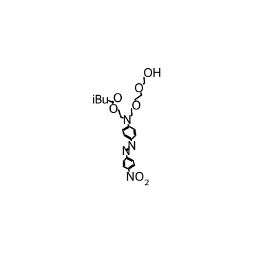 CCC(C)C(=O)OCCN(CCOCCOCCO)c1ccc(/N=N/c2ccc([N+](=O)[O-])cc2)cc1